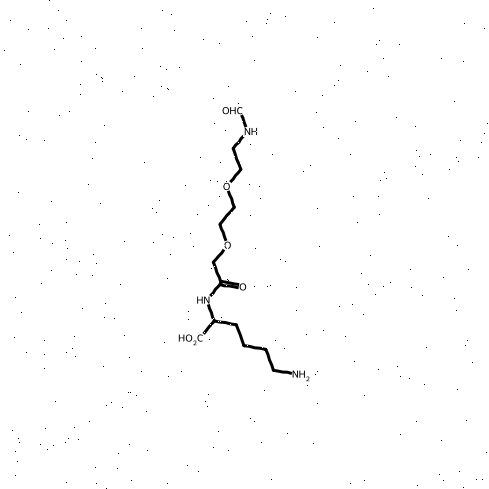 NCCCCC(NC(=O)COCCOCCNC=O)C(=O)O